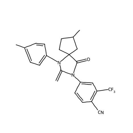 C=C1N(c2ccc(C#N)c(C(F)(F)F)c2)C(=O)C2(CCC(C)C2)N1c1ccc(C)cc1